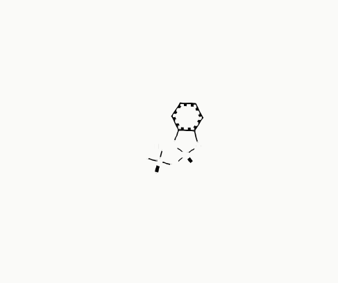 O=P(O)(O)OP1(=O)Oc2ccccc2O1